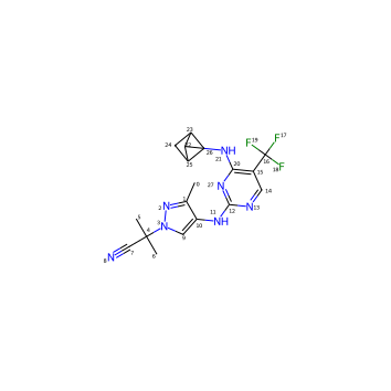 Cc1nn(C(C)(C)C#N)cc1Nc1ncc(C(F)(F)F)c(NC2C3CC2C3)n1